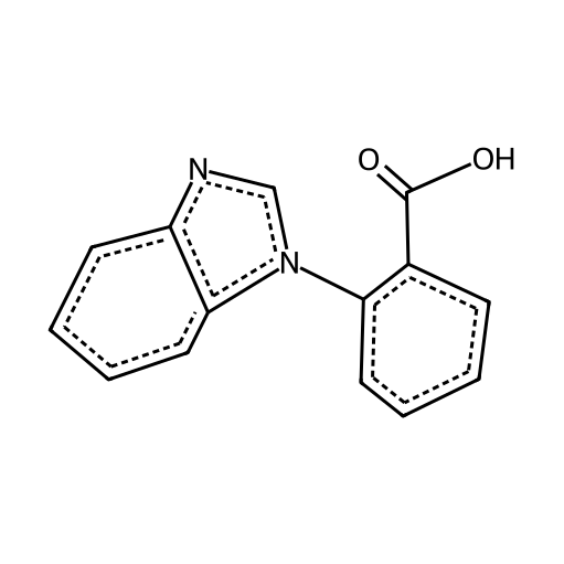 O=C(O)c1ccccc1-n1cnc2ccccc21